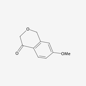 COc1ccc2c(c1)COCC2=O